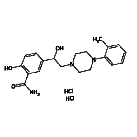 Cc1ccccc1N1CCN(CC(O)c2ccc(O)c(C(N)=O)c2)CC1.Cl.Cl